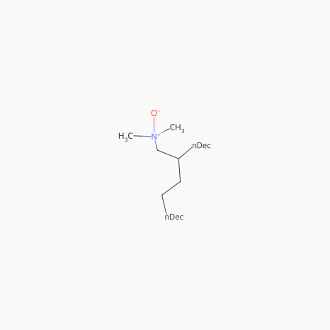 CCCCCCCCCCCCC(CCCCCCCCCC)C[N+](C)(C)[O-]